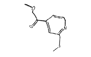 COC(=O)c1ccnc(SC)c1